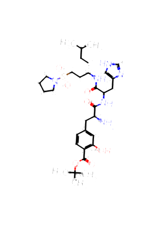 CC(C)CC[C@@H](CCS(=O)(=O)N1CCCC1)NC(=O)C(Cc1c[nH]cn1)NC(=O)C(N)Cc1ccc(C(=O)OC(C)(C)C)c(O)c1